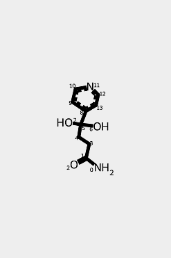 NC(=O)CCC(O)(O)c1ccncc1